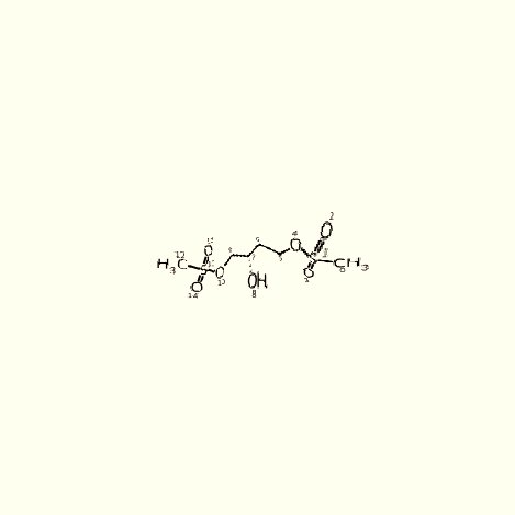 CS(=O)(=O)OCC[C@H](O)COS(C)(=O)=O